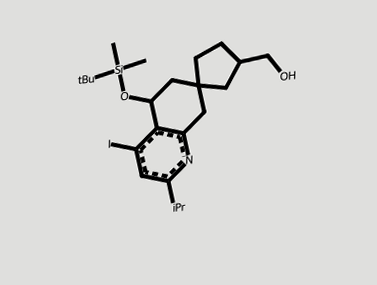 CC(C)c1cc(I)c2c(n1)CC1(CCC(CO)C1)CC2O[Si](C)(C)C(C)(C)C